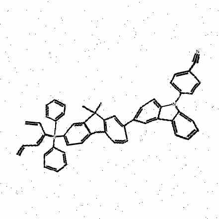 C=C/C=C(\C=C)[Si](c1ccccc1)(c1ccccc1)c1ccc2c(c1)C(C)(C)c1cc(-c3ccc4c(c3)c3ccccc3n4-c3ccc(C#N)cc3)ccc1-2